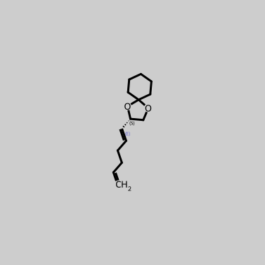 C=CCC/C=C/[C@H]1COC2(CCCCC2)O1